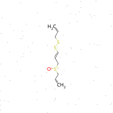 C=CCSSC=CC[S+]([O-])CC=C